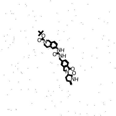 C=C1CCC(N2Cc3cc(CNC(=O)Nc4ccc5c(c4)CCN(C(=O)OC(C)(C)C)C5)ccc3C2=O)C(=O)N1